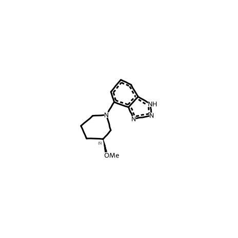 CO[C@H]1CCCN(c2cccc3[nH]nnc23)C1